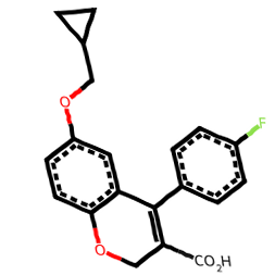 O=C(O)C1=C(c2ccc(F)cc2)c2cc(OCC3CC3)ccc2OC1